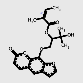 C/C=C(/C)C(=O)OC(COc1c2occc2cc2ccc(=O)oc12)C(C)(C)O